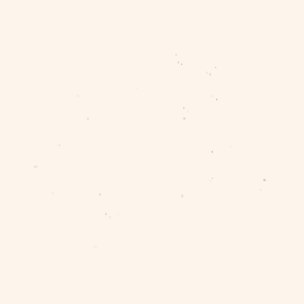 O=C(O)NC(CO)Cn1nnc(-c2cccc(C3COc4cccnc4O3)c2)n1